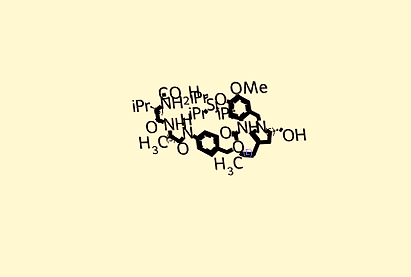 C/C=C/C1=CN(Cc2cc(OC)c(O[Si](C(C)C)(C(C)C)C(C)C)cc2NC(=O)OCc2ccc(NC(=O)[C@H](C)NC(=O)[C@@H](NC(=O)O)C(C)C)cc2)[C@H](CO)C1